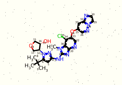 Cn1c(Nc2cc(C(C)(C)C)n([C@H]3COC[C@@H]3O)n2)nc2ncc(Oc3cnn4ccnc4c3)c(Cl)c21